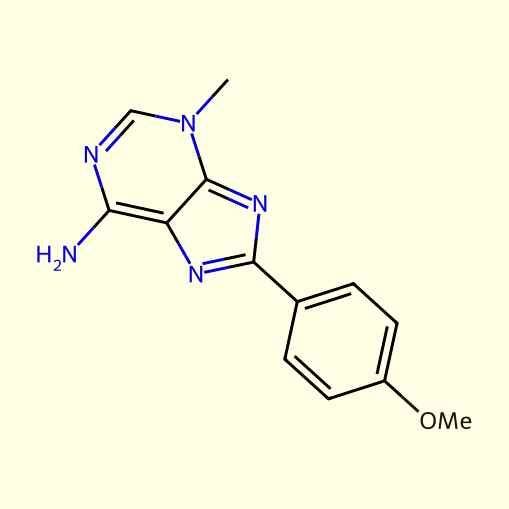 COc1ccc(-c2nc3c(N)ncn(C)c-3n2)cc1